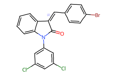 O=C1/C(=C\c2ccc(Br)cc2)c2ccccc2N1c1cc(Cl)cc(Cl)c1